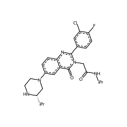 CC(C)NC(=O)Cn1c(-c2ccc(F)c(Cl)c2)nc2ccc(N3CCN[C@@H](C(C)C)C3)cc2c1=O